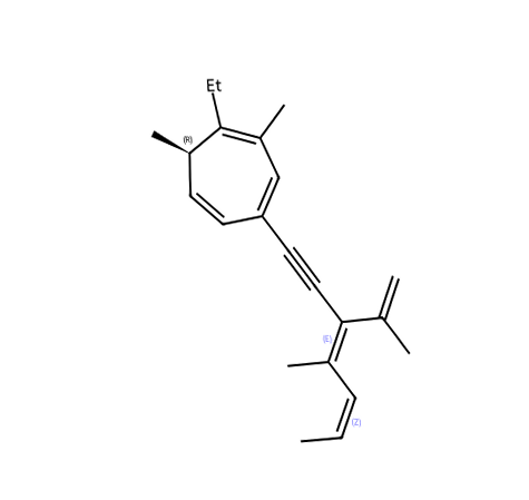 C=C(C)/C(C#CC1=CC(C)=C(CC)[C@H](C)C=C1)=C(C)\C=C/C